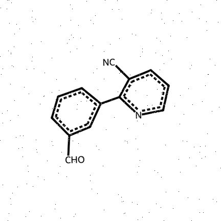 N#Cc1cccnc1-c1cccc(C=O)c1